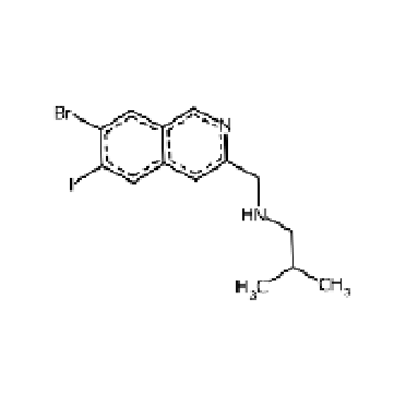 CC(C)CNCc1cc2cc(I)c(Br)cc2cn1